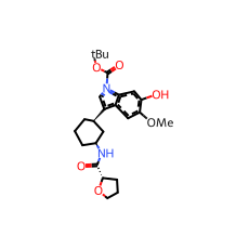 COc1cc2c([C@@H]3CCC[C@H](NC(=O)[C@@H]4CCCO4)C3)cn(C(=O)OC(C)(C)C)c2cc1O